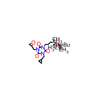 CCCC[Si](C)(C)O[Si](C)(C)CCCn1c(=O)n(CC2CC2)c(=O)n(CC2CO2)c1=O